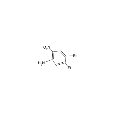 CCc1cc(N)c([N+](=O)[O-])cc1CC